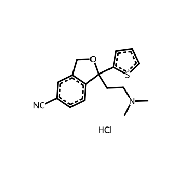 CN(C)CCC1(c2cccs2)OCc2cc(C#N)ccc21.Cl